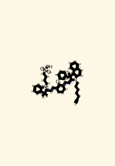 C#CCCCCCN1/C(=C/C=C2\CCCC(/C=C/C3=[N+](CCCCS(=O)(=O)O)c4ccccc4C3(C)C)=C2Oc2ccccc2)C(C)(C)c2c1ccc1ccccc21